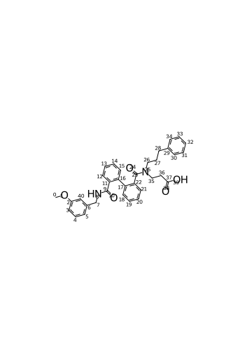 COc1cccc(CNC(=O)c2ccccc2-c2ccccc2C(=O)N(CCCc2ccccc2)CCC(=O)O)c1